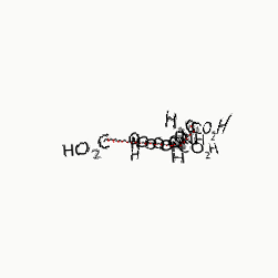 C[C@@H](CCCCNC(=O)CC[C@@H](NC(=O)CCOCCOCCOCCOCCNC(=O)CCCCCCCCCCCCC(=O)O)C(=O)O)C(=O)O